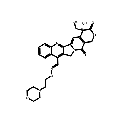 CC[C@@]1(O)C(=O)OCc2c1cc1n(c2=O)Cc2c-1nc1ccccc1c2C=NOCCN1CCOCC1